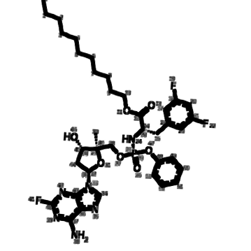 CCCCCCCCCCCOC(=O)[C@H](Cc1cc(F)cc(F)c1)N[P@](=O)(OC[C@@]1(C)O[C@@H](n2cnc3c(N)nc(F)nc32)C[C@@H]1O)Oc1ccccc1